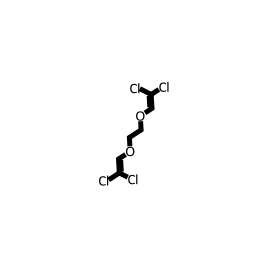 ClC(Cl)=COCCOC=C(Cl)Cl